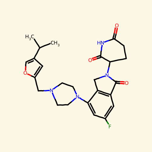 CC(C)c1coc(CN2CCN(c3cc(F)cc4c3CN(C3CCC(=O)NC3=O)C4=O)CC2)c1